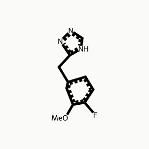 COc1cc(Cc2nnc[nH]2)ccc1F